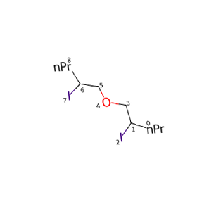 CCCC(I)COCC(I)CCC